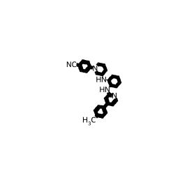 Cc1ccc(-c2ccnc(N[C@@H]3CCCC[C@H]3N[C@H]3CCCN(c4ccc(C#N)cc4)C3)c2)cc1